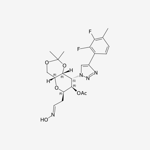 CC(=O)O[C@@H]1[C@@H](n2cc(-c3ccc(C)c(F)c3F)nn2)[C@H]2OC(C)(C)OC[C@H]2O[C@@H]1CC=NO